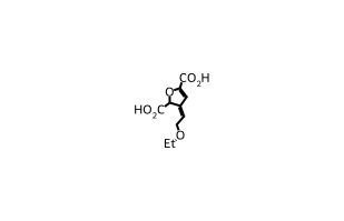 CCOCC=C1C=C(C(=O)O)OC1C(=O)O